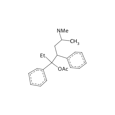 CCC(OC(C)=O)(c1ccccc1)C(CC(C)NC)c1ccccc1